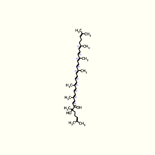 CC(C)=CCC/C(C)=C/C=C/C(C)=C/C=C/C(C)=C/C=C/C=C(C)/C=C/C=C(C)/C=C/[C@@H](O)[C@@](C)(O)CCC=C(C)C